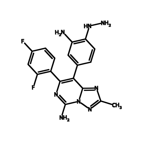 Cc1nc2c(-c3ccc(NN)c(N)c3)c(-c3ccc(F)cc3F)nc(N)n2n1